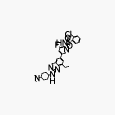 CCc1cc(-c2cnc(NS(=O)(=O)c3ccccc3Cl)c(F)c2)cc2cnc(NC3CCC(N(C)C)CC3)nc12